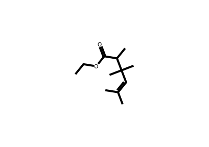 CCOC(=O)C(C)C(C)(C)C=C(C)C